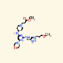 COCCCn1cc(CNc2nc(NC3CCN(CCC(=O)OC)CC3)cc(N3CCOCC3)n2)nn1